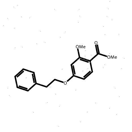 COC(=O)c1ccc(OCCc2ccccc2)cc1OC